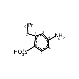 CC(C)Cc1cc(N)ccc1S(=O)(=O)O